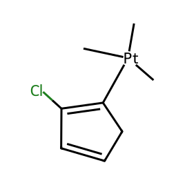 [CH3][Pt]([CH3])([CH3])[C]1=C(Cl)C=CC1